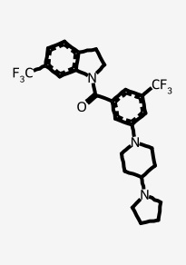 O=C(c1cc(N2CCC(N3CCCC3)CC2)cc(C(F)(F)F)c1)N1CCc2ccc(C(F)(F)F)cc21